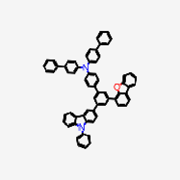 c1ccc(-c2ccc(N(c3ccc(-c4ccccc4)cc3)c3ccc(-c4cc(-c5ccc6c(c5)c5ccccc5n6-c5ccccc5)cc(-c5cccc6c5oc5ccccc56)c4)cc3)cc2)cc1